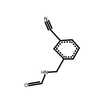 N#Cc1cccc(CN[C]=O)c1